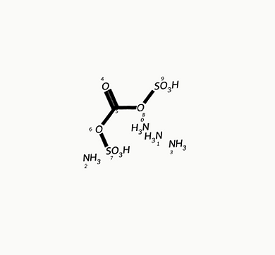 N.N.N.N.O=C(OS(=O)(=O)O)OS(=O)(=O)O